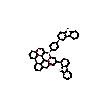 c1ccc(-c2cccc3cccc(-c4ccccc4N(c4ccc(-c5ccc6oc7ccccc7c6c5)cc4)c4cccc(-c5cccc6c5sc5ccccc56)c4)c23)cc1